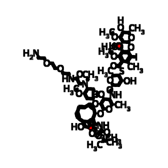 CCN(CC(=O)NCCOCCOCCN)[C@H]1CO[C@@H](O[C@H]2[C@H](O[C@H]3C#C/C=C/C#C[C@]4(O)CC(=O)C(NC(=O)OC)=C3/C4=C\CSSC(C)C)O[C@H](C)[C@@H](NO[C@H]3C[C@H](O)[C@H](SC(=O)c4c(C)c(I)c(O[C@@H]5O[C@@H](C)[C@H](O)[C@@H](OC)[C@H]5O)c(OC)c4OC)[C@@H](C)O3)[C@@H]2O)C[C@@H]1OC